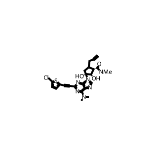 C#CCC1C[C@](O)(n2cnc3c(N(C)C)nc(C#Cc4ccc(Cl)s4)nc32)[C@H](O)[C@H]1C(=O)NC